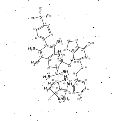 Bc1c(B)c(-c2ccc(C(F)(F)F)cc2)c(B)c(B)c1CN(C(=O)Cn1c(SCc2ccc(F)cc2)nc(=O)c2c1CCC2)C(B)(B)C(B)(B)N(C(B)(B)C)C(B)(B)C